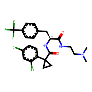 CN(C)CCNC(=O)[C@H](Cc1ccc(C(F)(F)F)cc1)NC(=O)C1(c2ccc(Cl)cc2Cl)CC1